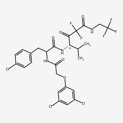 CC(C)[C@H](NC(=O)C(Cc1ccc(Cl)cc1)NC(=O)COc1cc(Cl)cc(Cl)c1)C(=O)C(F)(F)C(=O)NCC(F)(F)F